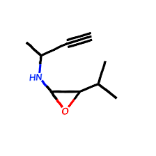 C#CC(C)NC1OC1C(C)C